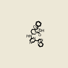 C[C@]1(Cc2ccccc2)CC[C@@H](Nc2cncc(-c3cnc4ccccn34)n2)CN1C(=O)O